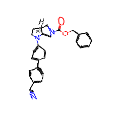 N#Cc1ccc(-c2ccc(N3CC[C@@H]4CN(C(=O)OCc5ccccc5)C=C43)cc2)cc1